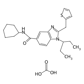 CCC(CC)n1c(Cc2cccs2)nc2cc(C(=O)NC3CCCCC3)ccc21.O=C(O)O